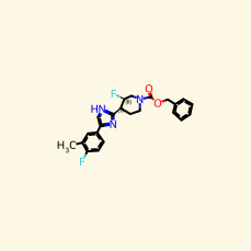 Cc1cc(-c2c[nH]c([C@@H]3CCN(C(=O)OCc4ccccc4)C[C@@H]3F)n2)ccc1F